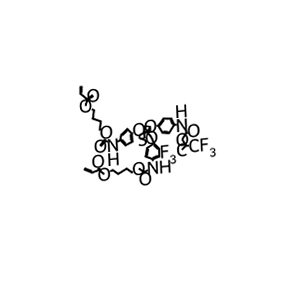 C=CC(=O)OCCCCOC(=O)Nc1ccc(OP(=S)(Oc2ccc(NC(=O)OCCCCOC(=O)C=C)cc2)Oc2ccc(NC(=O)OC(C(F)(F)F)C(F)(F)F)cc2)cc1